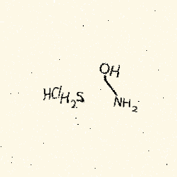 Cl.NO.S